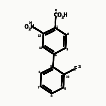 O=C(O)c1ccc(-c2ccccc2F)cc1[N+](=O)[O-]